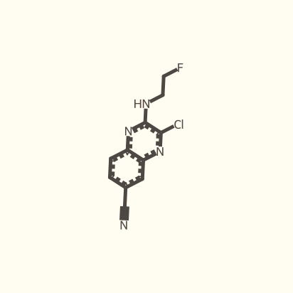 N#Cc1ccc2nc(NCCF)c(Cl)nc2c1